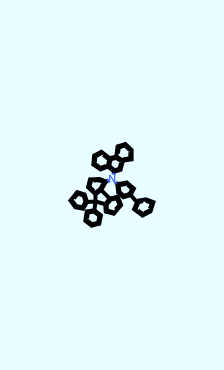 c1ccc(-c2ccc(N(c3cccc4c3-c3ccccc3C4(c3ccccc3)c3ccccc3)c3cc4ccccc4c4ccccc34)cc2)cc1